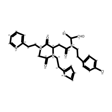 CCC(C=O)N(CCc1ccc(Cl)cc1)C(=O)CC1C(=O)N(CCc2ccccn2)CC(=O)N1CCc1cccs1